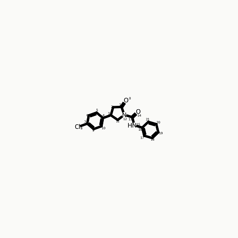 O=C1CC(c2ccc(Cl)cc2)CN1C(=O)Nc1ccccc1